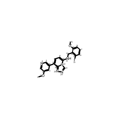 COc1cncc(-c2ccc(NCc3c(F)cccc3OC)n3cnnc23)c1